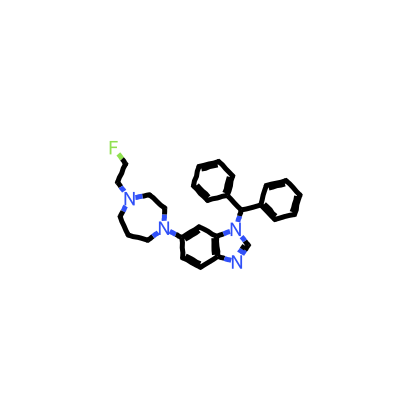 FCCN1CCCN(c2ccc3ncn(C(c4ccccc4)c4ccccc4)c3c2)CC1